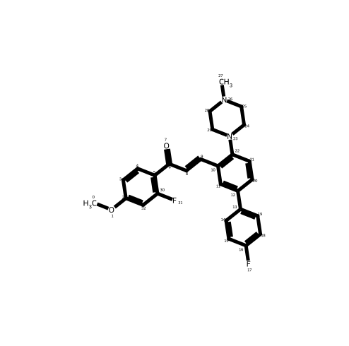 COc1ccc(C(=O)C=Cc2cc(-c3ccc(F)cc3)ccc2N2CCN(C)CC2)c(F)c1